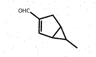 CC1C2C=C(C=O)CC12